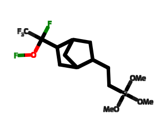 CO[Si](CCC1CC2CC1CC2C(F)(OF)C(F)(F)F)(OC)OC